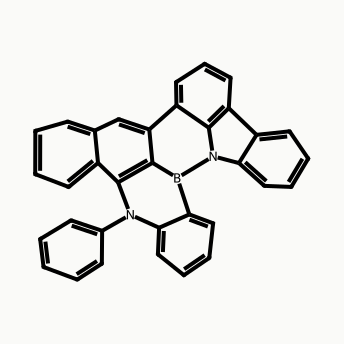 c1ccc(N2c3ccccc3B3c4c(cc5ccccc5c42)-c2cccc4c5ccccc5n3c24)cc1